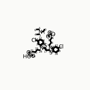 CCN(CC)CC.O=S(=O)([O-])CCCC[n+]1c(C=C2Sc3ccc(Cl)cc3N2CCCCS(=O)(=O)O)sc2ccc(Cl)cc21